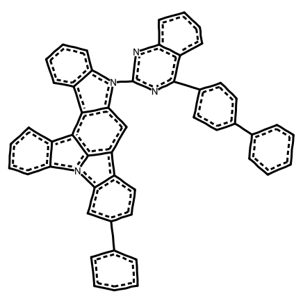 c1ccc(-c2ccc(-c3nc(-n4c5ccccc5c5c6c7ccccc7n7c8cc(-c9ccccc9)ccc8c(cc54)c67)nc4ccccc34)cc2)cc1